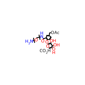 CC(=O)OCc1ccc(O[C@@H]2O[C@H](C(=O)O)[C@@H](O)[C@H](O)[C@H]2O)c(C(=O)NC(C)(C)COC(C)(C)N)c1